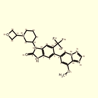 COc1cc(-c2cc3[nH]c(=O)n(C4CCCN(C5COC5)C4)c3cc2C(F)(F)F)cn2ncnc12